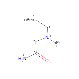 CCCCCCN(CCC)CC(N)=O